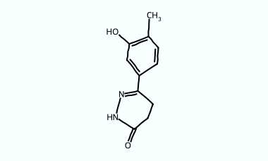 Cc1ccc(C2=NNC(=O)CC2)cc1O